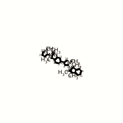 C[C@@H]1N(c2cc(-c3ccc4c(c3)N3CC4(C)N(c4cccn4C)[C@H]3C)cn2C)C2(C)CC1(C)c1ccccc12